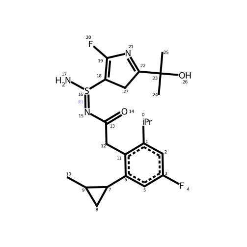 CC(C)c1cc(F)cc(C2CC2C)c1CC(=O)/N=S(/N)C1=C(F)N=C(C(C)(C)O)C1